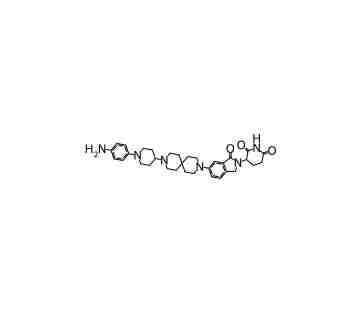 Nc1ccc(N2CCC(N3CCC4(CCN(c5ccc6c(c5)C(=O)N(C5CCC(=O)NC5=O)C6)CC4)CC3)CC2)cc1